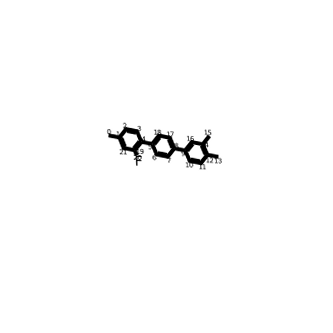 Cc1ccc(-c2ccc(-c3ccc(C)c(C)c3)cc2)c(F)c1